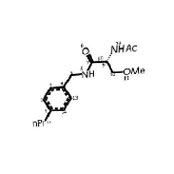 CCCc1ccc(CNC(=O)[C@@H](COC)NC(C)=O)cc1